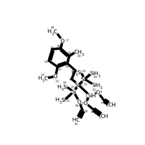 C#CO[SiH](OC#C)[Si](CCc1c(OC)ccc(OC)c1C)([Si]([SiH3])([SiH3])[SiH3])[Si]([SiH3])([SiH3])OC#C